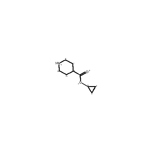 O=C(OC1CC1)C1CCNCC1